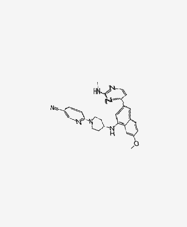 CNc1nccc(-c2cc(NC3CCN(c4ccc(C#N)cn4)CC3)c3cc(OC)ccc3c2)n1